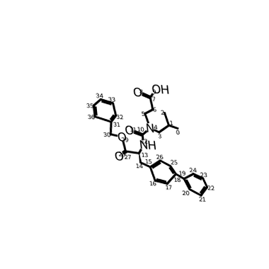 CC(C)CN(CCC(=O)O)C(=O)N[C@@H](Cc1ccc(-c2ccccc2)cc1)C(=O)OCc1ccccc1